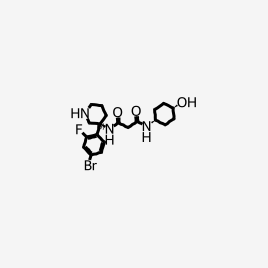 O=C(CC(=O)N[C@H]1CC[C@@H](O)CC1)N[C@]1(c2ccc(Br)cc2F)CCCNC1